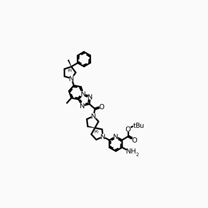 Cc1cc(N2CC[C@](C)(c3ccccc3)C2)cn2nc(C(=O)N3CC[C@@]4(CCN(c5ccc(N)c(C(=O)OC(C)(C)C)n5)C4)C3)nc12